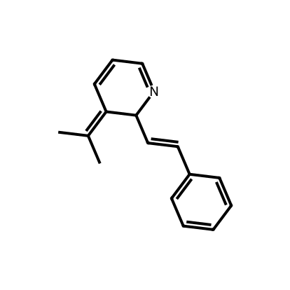 CC(C)=C1C=CC=NC1C=Cc1ccccc1